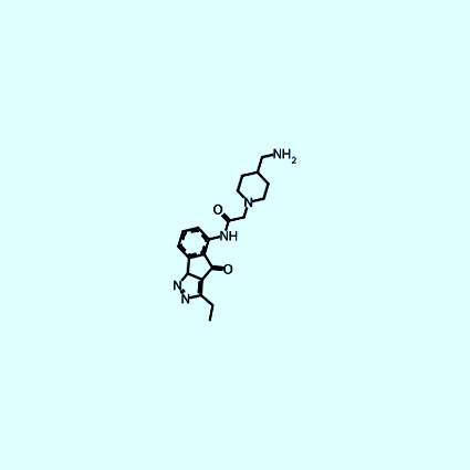 CCC1=C2C(=O)c3c(NC(=O)CN4CCC(CN)CC4)cccc3C2N=N1